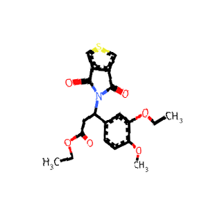 CCOC(=O)CC(c1ccc(OC)c(OCC)c1)N1C(=O)c2cscc2C1=O